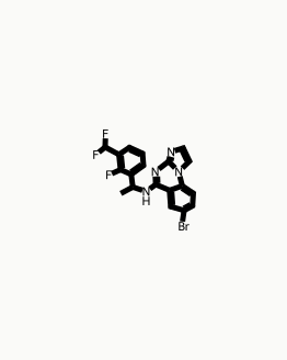 CC(Nc1nc2nccn2c2ccc(Br)cc12)c1cccc(C(F)F)c1F